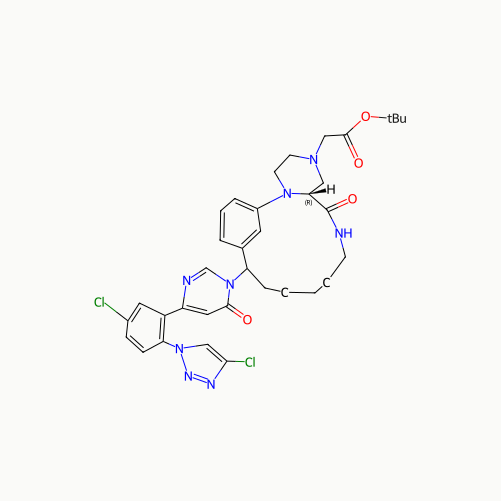 CC(C)(C)OC(=O)CN1CCN2c3cccc(c3)C(n3cnc(-c4cc(Cl)ccc4-n4cc(Cl)nn4)cc3=O)CCCCCNC(=O)[C@H]2C1